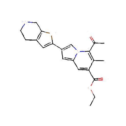 CCOC(=O)c1cc2cc(-c3cc4c(s3)CNCC4)cn2c(C(C)=O)c1C